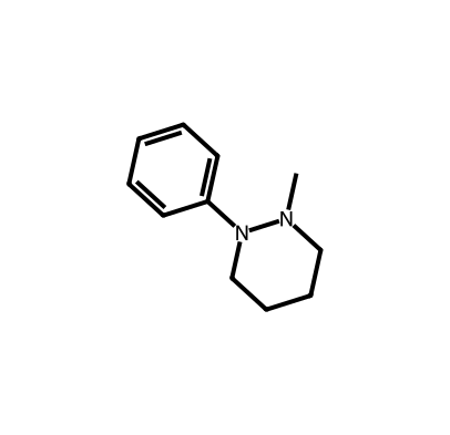 CN1CCCCN1c1ccccc1